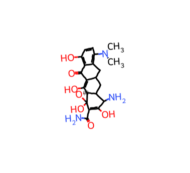 CN(C)c1ccc(O)c2c1CC1CC3C(N)C(O)=C(C(N)=O)C4(O)O[C@]34C(O)=C1C2=O